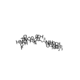 COc1cc2c(Oc3ccc(NC(=O)C4(C(=O)Nc5ccc(F)cc5)CC4)cc3F)ccnc2cc1OCCCCCNC(=O)CSC(=O)[C@@H](N)C(C)C